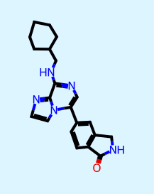 O=C1NCc2cc(-c3cnc(NCC4CCCCC4)c4nccn34)ccc21